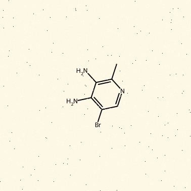 Cc1ncc(Br)c(N)c1N